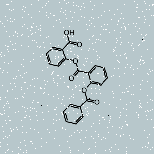 O=C(Oc1ccccc1C(=O)Oc1ccccc1C(=O)O)c1ccccc1